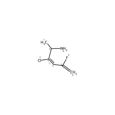 C=C(F)/C=C(/Cl)C(C)N